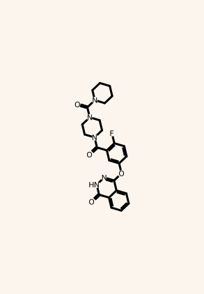 O=C(c1cc(Oc2n[nH]c(=O)c3ccccc23)ccc1F)N1CCN(C(=O)N2CCCCC2)CC1